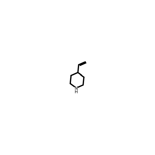 C=CC1CCNCC1